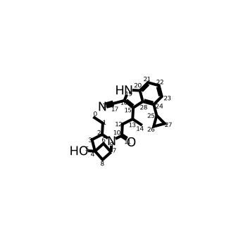 CCC1CC2(O)CC(C2)N1C(=O)CC(C)c1c(C#N)[nH]c2cccc(C3CC3)c12